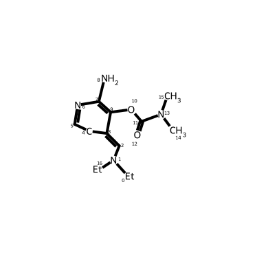 CCN(C=C1CC=NC(N)=C1OC(=O)N(C)C)CC